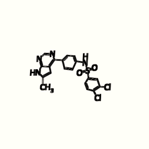 Cc1cc2c(-c3ccc(NS(=O)(=O)c4ccc(Cl)c(Cl)c4)cc3)ncnc2[nH]1